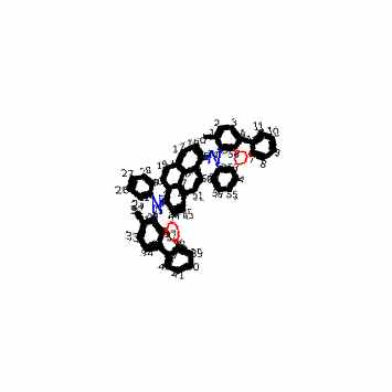 Cc1ccc2c(oc3ccccc32)c1N(C1=CC=C2C=Cc3c(N(c4ccccc4)c4c(C)ccc5c4oc4ccccc45)ccc4c3C2C1C=C4)c1ccccc1